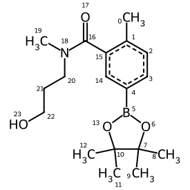 Cc1ccc(B2OC(C)(C)C(C)(C)O2)cc1C(=O)N(C)CCCO